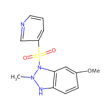 COc1ccc2c(c1)N(S(=O)(=O)c1cccnc1)N(C)N2